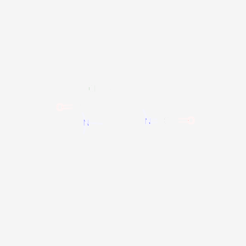 O=C=Nc1ccccc1CN(C(=O)Cl)c1ccccc1